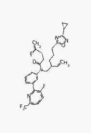 C=CC(CCCc1nc(C2CC2)no1)CN(C(=O)CCC(=C)F)c1cccc(-c2nc(C(F)(F)F)ccc2F)c1